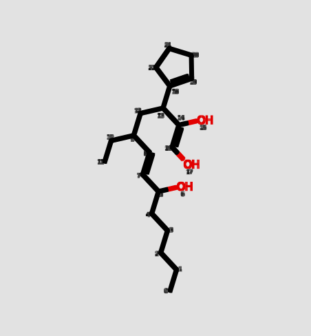 CCCCCC(O)/C=C/C(CC)CC(C(O)=CO)C1=CCCC1